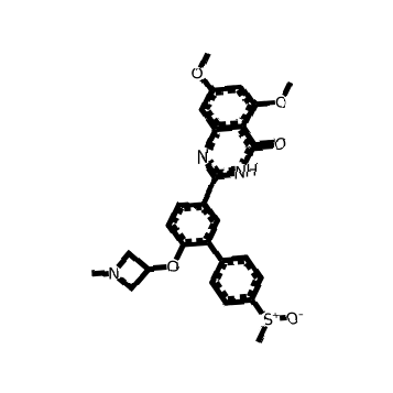 COc1cc(OC)c2c(=O)[nH]c(-c3ccc(OC4CN(C)C4)c(-c4ccc([S+](C)[O-])cc4)c3)nc2c1